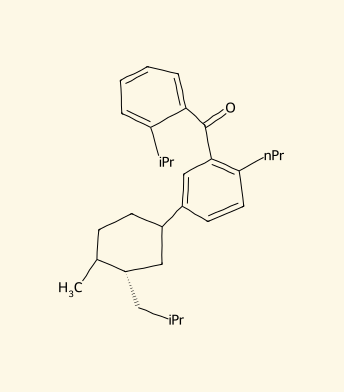 CCCc1ccc(C2CCC(C)[C@@H](CC(C)C)C2)cc1C(=O)c1ccccc1C(C)C